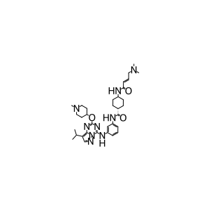 CC(C)c1cnn2c(Nc3cccc(NC(=O)[C@H]4CC[C@H](NC(=O)/C=C/CN(C)C)CC4)c3)nc(OC3CCN(C)CC3)nc12